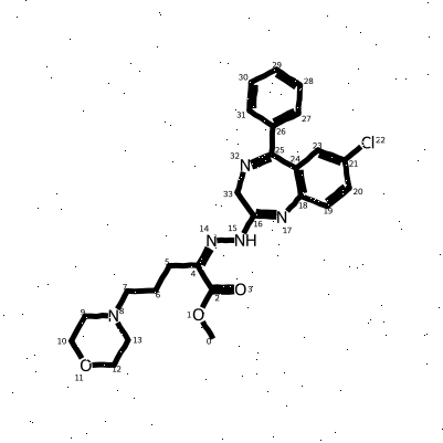 COC(=O)C(CCCN1CCOCC1)=NNC1=Nc2ccc(Cl)cc2C(c2ccccc2)=NC1